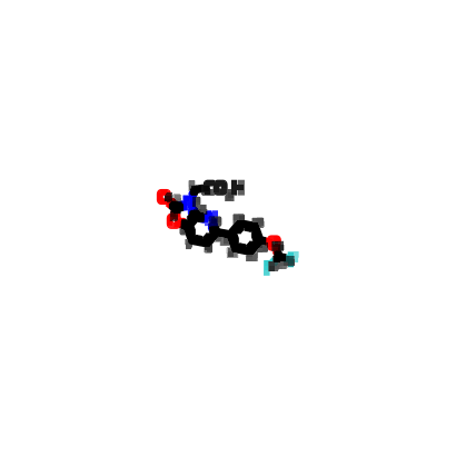 O=C(O)Cn1c(=O)oc2ccc(-c3ccc(OC(F)F)cc3)nc21